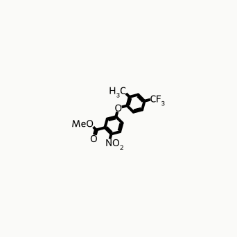 COC(=O)c1cc(Oc2ccc(C(F)(F)F)cc2C)ccc1[N+](=O)[O-]